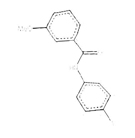 COc1cccc(C(=O)Nc2ccc(C(C)=O)cc2)c1